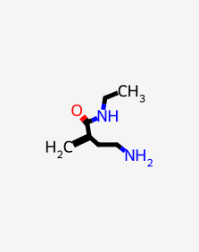 C=C(CCN)C(=O)NCC